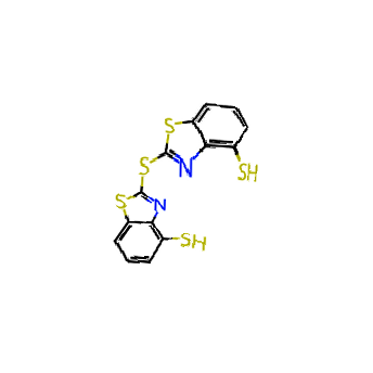 Sc1cccc2sc(Sc3nc4c(S)cccc4s3)nc12